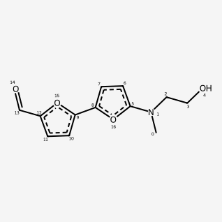 CN(CCO)c1ccc(-c2ccc(C=O)o2)o1